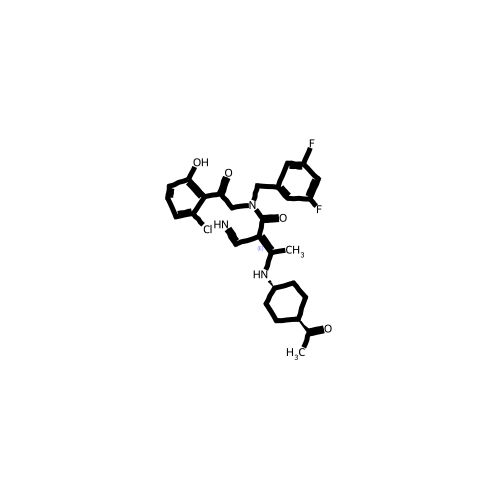 C/C(N[C@H]1CC[C@H](C(C)=O)CC1)=C(/C=N)C(=O)N(CC(=O)c1c(O)cccc1Cl)Cc1cc(F)cc(F)c1